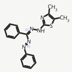 Cc1nc(N/N=C(\N=N\c2ccccc2)c2ccccc2)sc1C